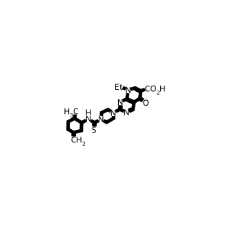 C=C1CCC(C)C(NC(=S)N2CCN(c3ncc4c(=O)c(C(=O)O)cn(CC)c4n3)CC2)C1